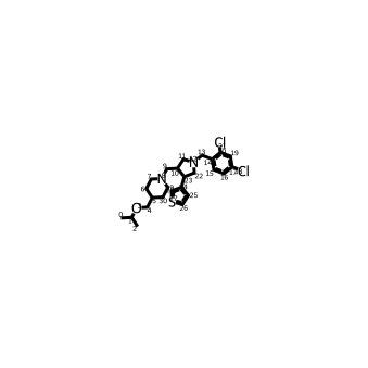 CC(C)OCC1CCN(CC2CN(Cc3ccc(Cl)cc3Cl)CC2c2ccsc2)CC1